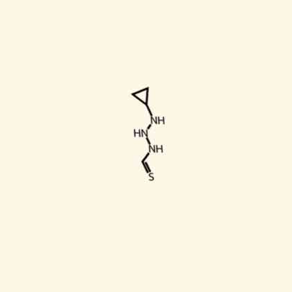 S=CNNNC1CC1